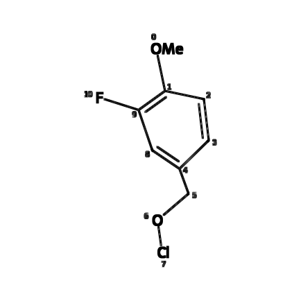 COc1ccc(COCl)cc1F